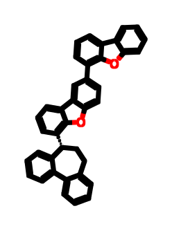 c1ccc2c(c1)CC[C@@H](c1cccc3c1oc1ccc(-c4cccc5c4oc4ccccc45)cc13)c1ccccc1-2